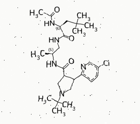 CC(=O)N[C@@H](CC(C)(C)C)C(=O)NC[C@H](C)NC(=O)C1CN(C(C)(C)C)CC1c1ccc(Cl)cn1